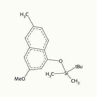 COc1cc(O[Si](C)(C)C(C)(C)C)c2ccc(C)cc2c1